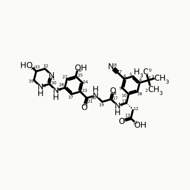 CC(C)(C)c1cc(C#N)cc([C@H](CC(=O)O)NC(=O)CNC(=O)c2cc(O)cc(NC3=NCC(O)CN3)c2)c1